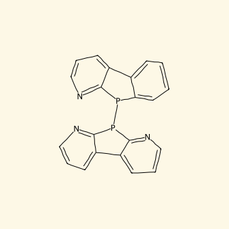 c1ccc2c(c1)c1cccnc1p2-p1c2ncccc2c2cccnc21